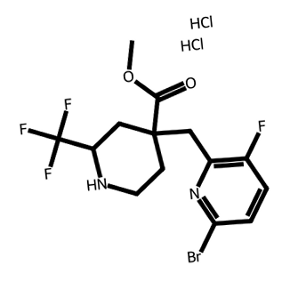 COC(=O)C1(Cc2nc(Br)ccc2F)CCNC(C(F)(F)F)C1.Cl.Cl